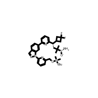 CC(C)(C[C@H](c1cccc(-c2ccc3cnn(-c4cccc(CO[Si](C)(C)C(C)(C)C)n4)c3c2)n1)C1CC(F)(F)C1)[S@+](N)[O-]